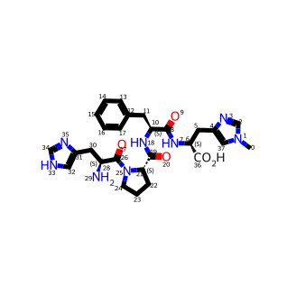 Cn1cnc(C[C@H](NC(=O)[C@H](Cc2ccccc2)NC(=O)[C@@H]2CCCN2C(=O)[C@@H](N)Cc2c[nH]cn2)C(=O)O)c1